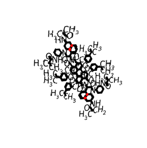 C=C(C)C(=O)NC1CCCC(N(C(=O)C(c2ccccc2)N2C(=O)c3cc(Oc4ccc(C(C)C)cc4C)c4c5c(Oc6ccc(C(C)C)cc6C)cc6c7c(cc(Oc8ccc(C(C)C)cc8C)c(c8c(Oc9ccc(C(C)C)cc9C)cc(c3c48)C2=O)c75)C(=O)N(C(C(=O)N(C2CCCC(NC(=O)C(=C)C)C2)C2CCCC(NC(=O)C(C)C)C2)c2ccccc2)C6=O)C2CCCC(NC(=O)C(=C)C)C2)C1